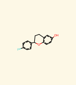 Oc1ccc2c(c1)CCC(c1ccc(F)cc1)O2